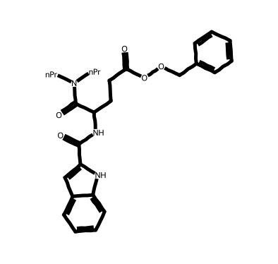 CCCN(CCC)C(=O)C(CCC(=O)OOCc1ccccc1)NC(=O)c1cc2ccccc2[nH]1